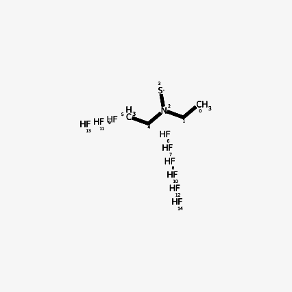 CCN([S])CC.F.F.F.F.F.F.F.F.F